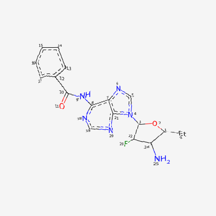 CCC1OC(n2cnc3c(NC(=O)c4ccccc4)ncnc32)C(F)C1N